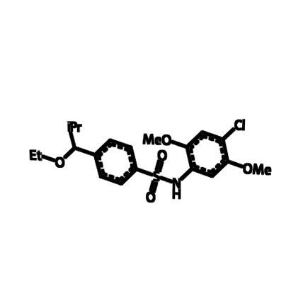 CCOC(c1ccc(S(=O)(=O)Nc2cc(OC)c(Cl)cc2OC)cc1)C(C)C